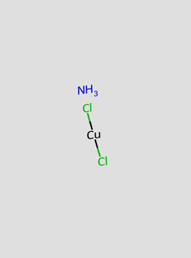 N.[Cl][Cu][Cl]